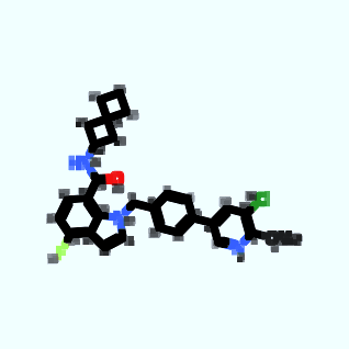 COc1ncc(-c2ccc(Cn3ccc4c(F)ccc(C(=O)NC5CC6(CCC6)C5)c43)cc2)cc1Cl